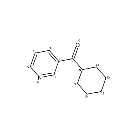 O=C(c1cccnc1)C1CCCCC1